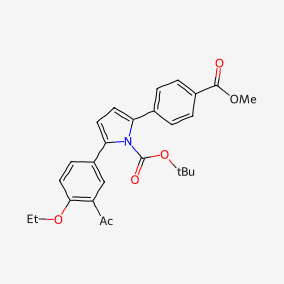 CCOc1ccc(-c2ccc(-c3ccc(C(=O)OC)cc3)n2C(=O)OC(C)(C)C)cc1C(C)=O